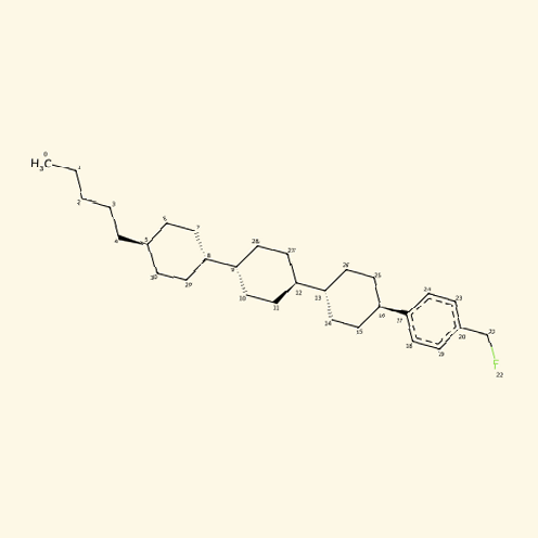 CCCCC[C@H]1CC[C@H]([C@H]2CC[C@H]([C@H]3CC[C@H](c4ccc(CF)cc4)CC3)CC2)CC1